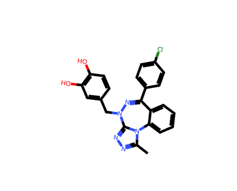 Cc1nnc2n1-c1ccccc1C(c1ccc(Cl)cc1)=NN2Cc1ccc(O)c(O)c1